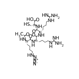 CC(=O)N[C@@H](CCCCNN=[N+]=[N-])C(=O)N[C@@H](CCCCNC(=N)N)C(=O)N[C@@H](CCCCNC(=N)N)C(=O)N[C@H](CS)C(=O)O